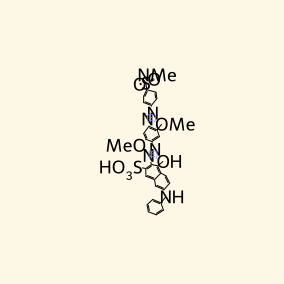 CNS(=O)(=O)c1ccc(/N=N/c2cc(OC)c(/N=N/c3c(S(=O)(=O)O)cc4cc(Nc5ccccc5)ccc4c3O)cc2OC)cc1